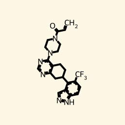 C=CC(=O)N1CCN(c2ncnc3c2CCC(c2c(C(F)(F)F)ccc4[nH]ncc24)C3)CC1